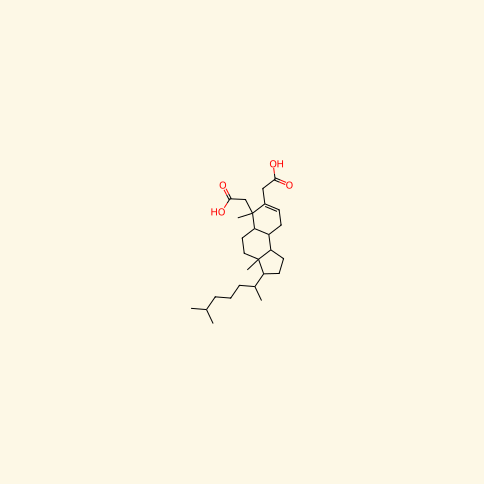 CC(C)CCCC(C)C1CCC2C3CC=C(CC(=O)O)C(C)(CC(=O)O)C3CCC12C